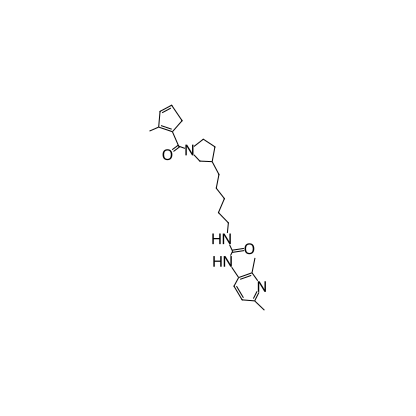 CC1=C(C(=O)N2CCC(CCCCCNC(=O)Nc3ccc(C)nc3C)C2)CC=C1